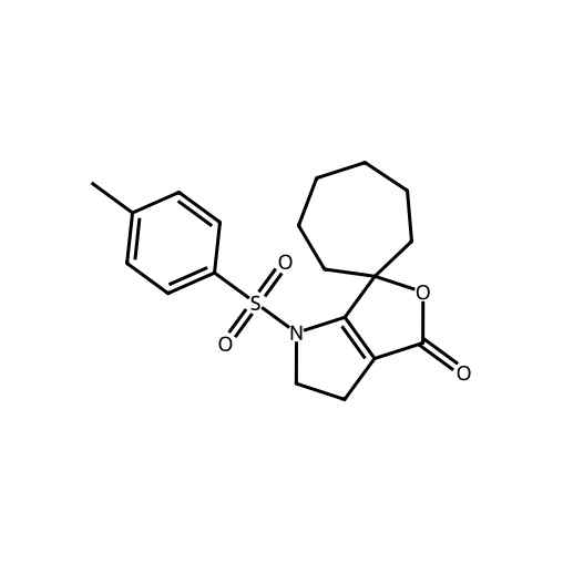 Cc1ccc(S(=O)(=O)N2CCC3=C2C2(CCCCCC2)OC3=O)cc1